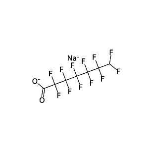 O=C([O-])C(F)(F)C(F)(F)C(F)(F)C(F)(F)C(F)(F)C(F)F.[Na+]